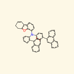 C1=Cc2c(oc3c(N(c4ccc(-c5cc6ccccc6c6ccccc56)cc4)c4ccccc4-c4cccc5ccccc45)cccc23)CC1